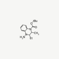 CCC1C(C)N(C(=O)OC(C)(C)C)c2ccccc2N1N